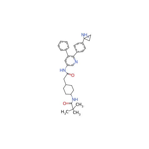 CC(C)(C)C(=O)NC1CCC(CC(=O)Nc2cnc(-c3ccc(C4(N)CC4)cc3)c(-c3ccccc3)c2)CC1